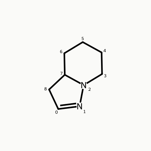 C1=NN2CCCCC2C1